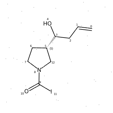 C=CCC(O)[C@H]1CCN(C(=O)I)C1